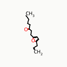 C=CCc1ccc(CCC(=O)CCCCC)o1